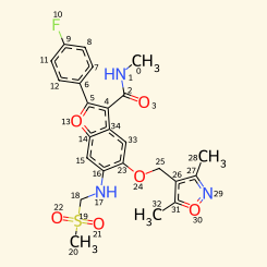 CNC(=O)c1c(-c2ccc(F)cc2)oc2cc(NCS(C)(=O)=O)c(OCc3c(C)noc3C)cc12